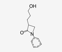 O=C1C(CCCO)CN1c1ccccc1